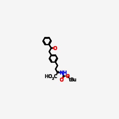 CC(C)(C)OC(=O)N[C@H](CCc1ccc(CC(=O)c2ccccc2)cc1)C(=O)O